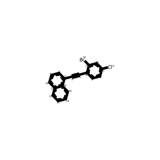 Clc1ccc(C#Cc2cccc3ccccc23)c(Br)c1